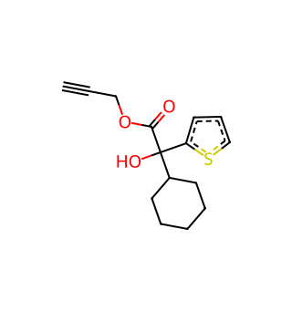 C#CCOC(=O)C(O)(c1cccs1)C1CCCCC1